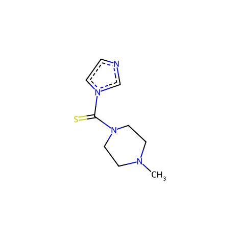 CN1CCN(C(=S)n2ccnc2)CC1